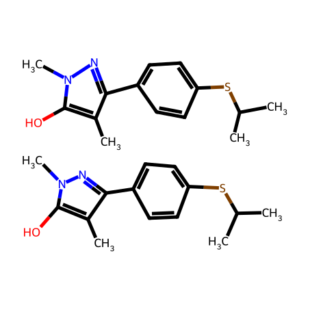 Cc1c(-c2ccc(SC(C)C)cc2)nn(C)c1O.Cc1c(-c2ccc(SC(C)C)cc2)nn(C)c1O